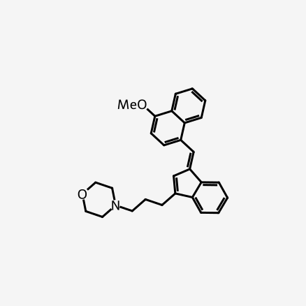 COc1ccc(/C=C2\C=C(CCCN3CCOCC3)c3ccccc32)c2ccccc12